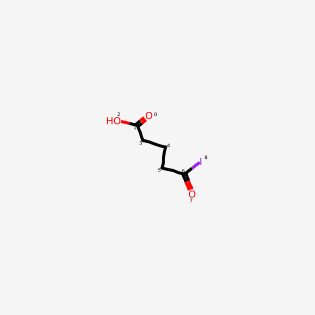 O=C(O)CCCC(=O)I